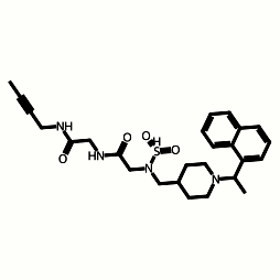 CC#CCNC(=O)CNC(=O)CN(CC1CCN(C(C)c2cccc3ccccc23)CC1)[SH](=O)=O